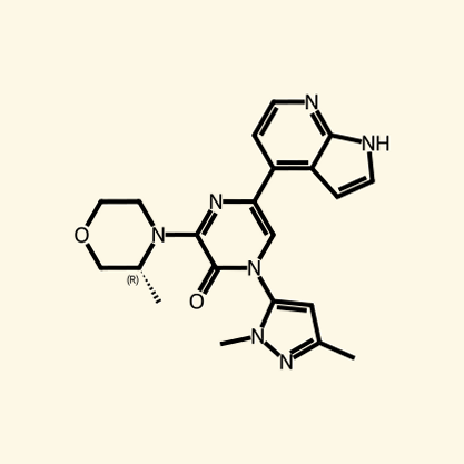 Cc1cc(-n2cc(-c3ccnc4[nH]ccc34)nc(N3CCOC[C@H]3C)c2=O)n(C)n1